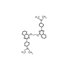 CCN(CC)c1ccc(-c2nc(OCCOc3nc(-c4ccc(N(CC)CC)cc4)nc4ccccc34)c3ccccc3n2)cc1